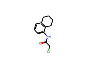 O=C(CCl)Nc1cccc2c1CCCC2